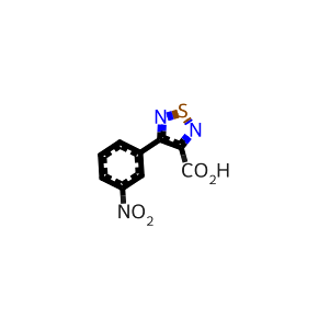 O=C(O)c1nsnc1-c1cccc([N+](=O)[O-])c1